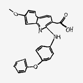 COc1ccc2cc(C(=O)O)c(Nc3ccc(Oc4ccccc4)cc3)nc2c1